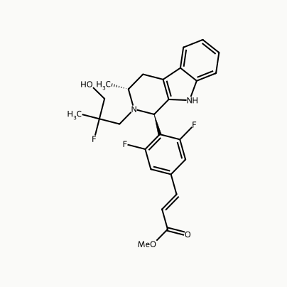 COC(=O)C=Cc1cc(F)c([C@@H]2c3[nH]c4ccccc4c3C[C@@H](C)N2CC(C)(F)CO)c(F)c1